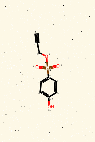 C#CCOS(=O)(=O)c1ccc(O)cc1